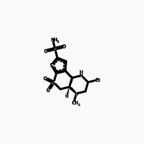 CCC1CN(C)[C@H]2CS(=O)(=O)c3sc(S(N)(=O)=O)cc3C2N1